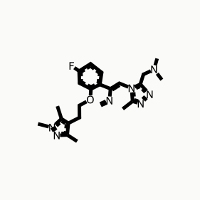 C=N/C(=C\n1c(C)nnc1CN(C)C)c1ccc(F)cc1OCCc1c(C)nn(C)c1C